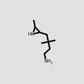 CC1NC1CC(C)(C)CCN